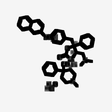 CCC(=O)O[C@](Cc1ccccc1)(c1ccccc1)[C@H](C)CN(C)C.CCOC(=O)C1(c2ccccc2)CCN(C)CC1.Cl.O.O=S(=O)(O)c1ccc2ccccc2c1